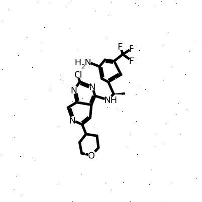 C[C@@H](Nc1nc(Cl)nc2cnc(C3CCOCC3)cc12)c1cc(N)cc(C(F)(F)F)c1